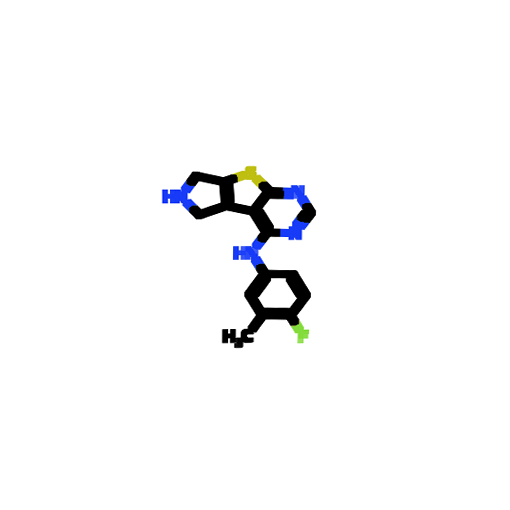 Cc1cc(Nc2ncnc3sc4c(c23)CNC4)ccc1F